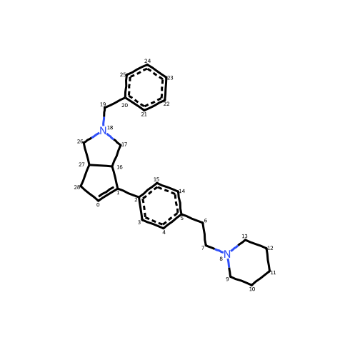 C1=C(c2ccc(CCN3CCCCC3)cc2)C2CN(Cc3ccccc3)CC2C1